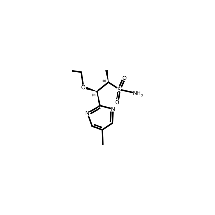 CCO[C@H](c1ncc(C)cn1)[C@@H](C)S(N)(=O)=O